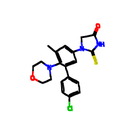 Cc1cc(N2CC(=O)NC2=S)cc(-c2ccc(Cl)cc2)c1N1CCOCC1